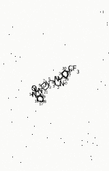 CN1CC=C(CN2CCC(n3c(=O)n(C)c4ccccc43)CC2)N=C1c1ccc(C(F)(F)F)cc1